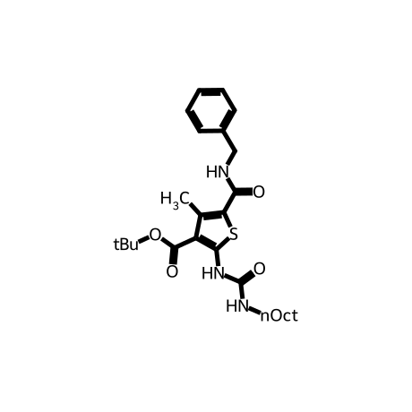 CCCCCCCCNC(=O)Nc1sc(C(=O)NCc2ccccc2)c(C)c1C(=O)OC(C)(C)C